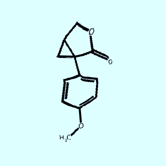 COc1ccc(C23CC2COC3=O)cc1